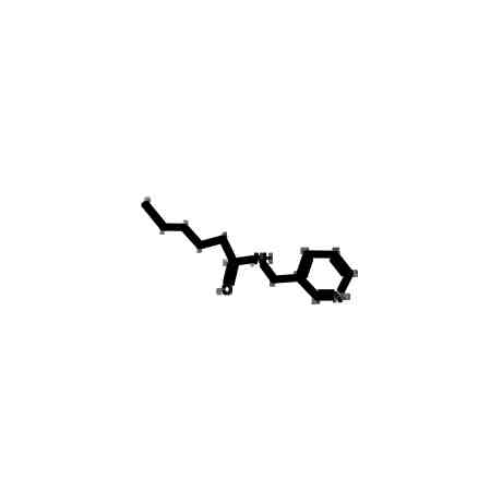 CCCCCC(=O)NCc1cc[c]nc1